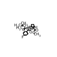 COC(=O)[C@@H]1[C@H]2CC[C@H](C2)N1C(=O)[C@@H](NC(=O)OC(C)(C)C)c1ccc(F)cc1